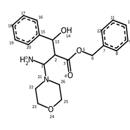 NC(C(C(=O)OCc1ccccc1)C(O)c1ccccc1)N1CCOCC1